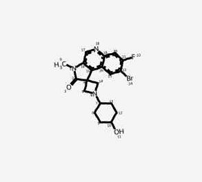 CN1C(=O)C2(CN(C3CCC(O)CC3)C2)c2c1cnc1cc(F)c(Br)cc21